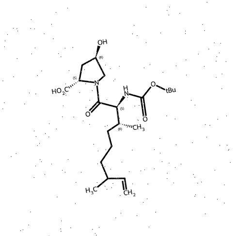 C=CC(C)CCC[C@@H](C)[C@H](NC(=O)OC(C)(C)C)C(=O)N1C[C@H](O)C[C@H]1C(=O)O